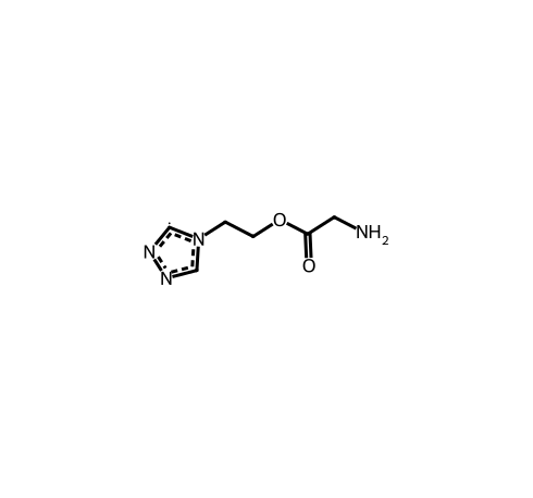 NCC(=O)OCCn1[c]nnc1